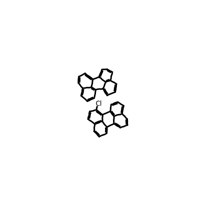 Clc1ccc2cccc3c4cccc5cccc(c1c23)c54.c1cc2cccc3c4cccc5cccc(c(c1)c23)c54